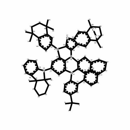 CC(C)(C)c1ccc(N2c3cc4ccccc4cc3B3c4c2cc(N2c5ccccc5C5(C)CCCCC25C)cc4N(c2ccc4c(c2)C(C)(C)CCC4(C)C)c2oc4cc5c(cc4c23)C2(C)CCC5(C)CC2)c(-c2ccccc2)c1